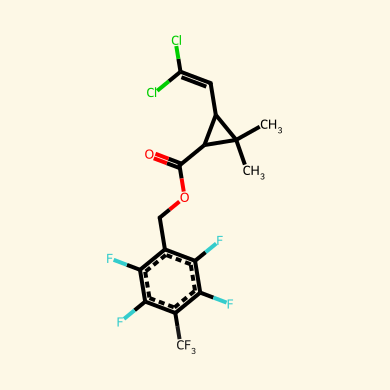 CC1(C)C(C=C(Cl)Cl)C1C(=O)OCc1c(F)c(F)c(C(F)(F)F)c(F)c1F